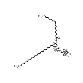 CCCCCCC/C=C\CCCCCCCC(=O)OC[C@H](COP(=O)([O-])OCC[N+](C)(C)C)OC(=O)CCCCCCCCCCCCCCCCCCCCC